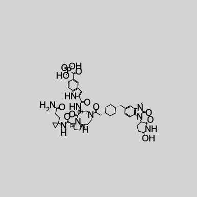 Cn1c(=O)n(C2CCC(O)NC2=O)c2ccc(C[C@H]3CC[C@@H](CC(=O)N4CC[C@H]5CC[C@@H](C(=O)NC6(CCC(N)=O)CC6)N5C(=O)[C@@H](NC(=O)c5cc6cc(C(=O)P(=O)(O)O)ccc6[nH]5)C4)CC3)cc21